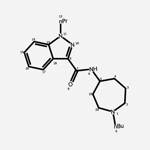 CCCCN1CCCC(NC(=O)c2nn(CCC)c3ccccc23)CC1